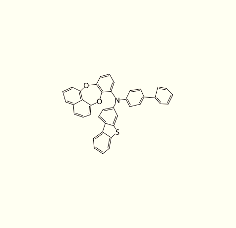 c1ccc(-c2ccc(N(c3ccc4c(c3)sc3ccccc34)c3cccc4c3Oc3cccc5cccc(c35)O4)cc2)cc1